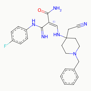 N#CCC1(N/C=C(\C(=N)Nc2ccc(F)cc2)C(N)=O)CCN(Cc2ccccc2)CC1